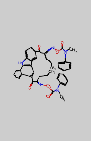 CCC/C(=N\OC(=O)N(C)c1ccccc1)C(=O)c1ccc2[nH]c3c4ccccc4c(C(=O)/C(CCC)=N/OC(=O)N(C)c4ccccc4)cc3c2c1